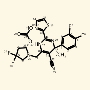 C[C@@]1(c2ccc(F)c(F)c2)N=C(c2nccs2)NC(CN2CC(F)(F)C[C@@H]2OC(=O)O)=C1C#N